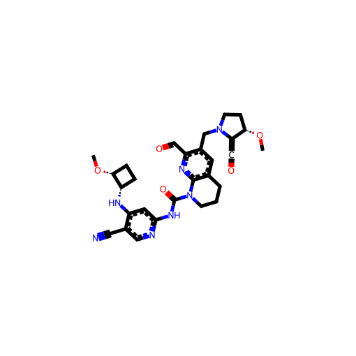 CO[C@H]1CCN(Cc2cc3c(nc2C=O)N(C(=O)Nc2cc(N[C@H]4CC[C@H]4OC)c(C#N)cn2)CCC3)C1=C=O